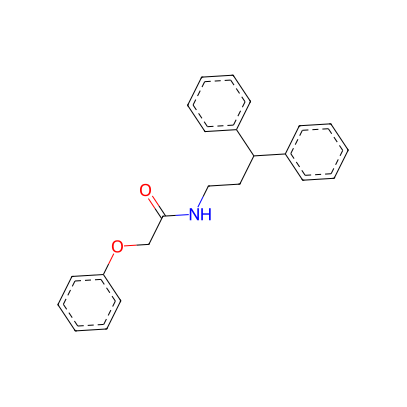 O=C(COc1ccccc1)NCCC(c1ccccc1)c1ccccc1